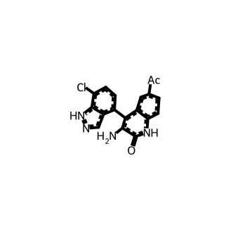 CC(=O)c1ccc2[nH]c(=O)c(N)c(-c3ccc(Cl)c4[nH]ncc34)c2c1